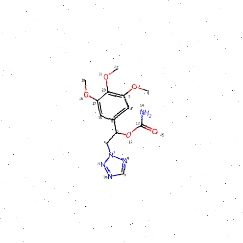 COc1cc(C(Cn2ncnn2)OC(N)=O)cc(OC)c1OC